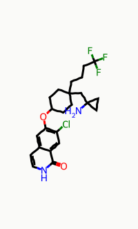 NC1(CC2(CCCC(F)(F)F)CCC(Oc3cc4cc[nH]c(=O)c4cc3Cl)CC2)CC1